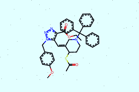 CCOC(=O)c1nnn(Cc2ccc(OC)cc2)c1/C=C1\CN(C(c2ccccc2)(c2ccccc2)c2ccccc2)CCC1SC(C)=O